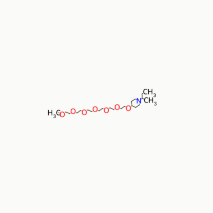 CCC(C)N1CCC(OCCOCCOCCOCCOCCOCCOC)CC1